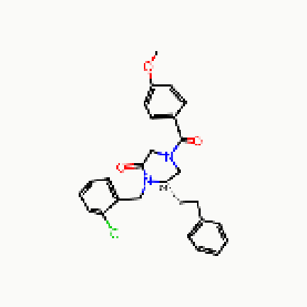 COc1ccc(C(=O)N2CC(=O)N(Cc3ccccc3Cl)[C@@H](CCc3ccccc3)C2)cc1